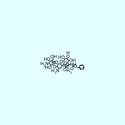 CC(=O)NC1C[C@@H](N)[C@@H](O[C@H]2OC(CO)[C@@H](O)[C@@H](N)C2O)C(O)[C@@H]1O[C@H]1OC(CNC(=O)OCc2ccccc2)[C@@H](O)C(O)[C@@H]1O